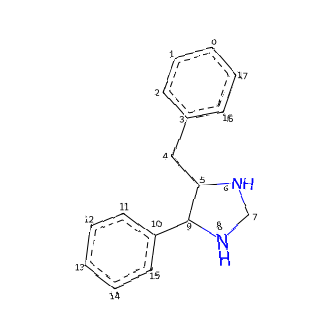 c1ccc(CC2NCNC2c2ccccc2)cc1